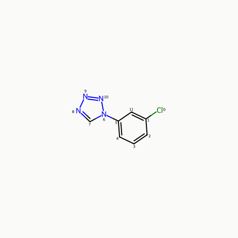 Clc1cccc(-n2cnnn2)c1